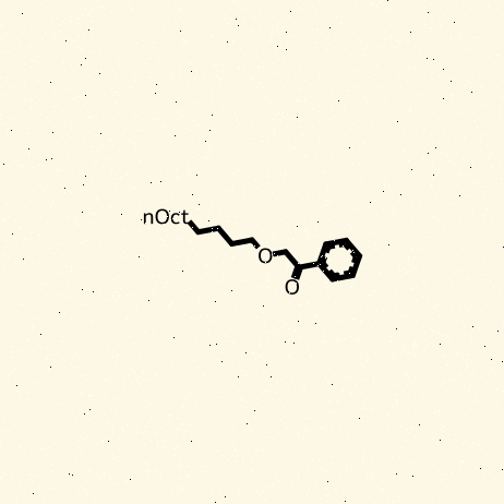 CCCCCCCCCCCCOCC(=O)c1ccccc1